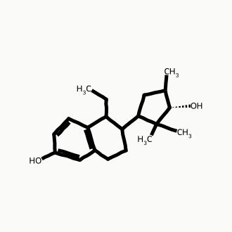 CCC1c2ccc(O)cc2CCC1C1CC(C)[C@H](O)C1(C)C